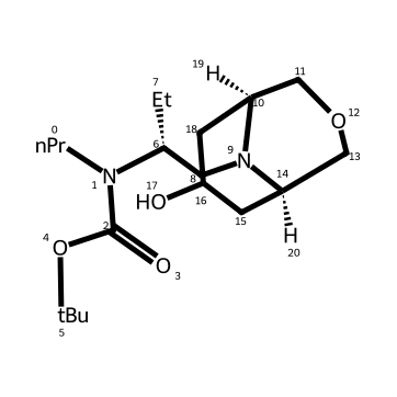 CCCN(C(=O)OC(C)(C)C)[C@H](CC)CN1[C@@H]2COC[C@H]1CC(O)C2